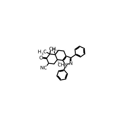 CC1(C)C(=O)C(C#N)C[C@]2(C)c3c(c(-c4ccccc4)nn3-c3ccccc3)CC[C@@H]12